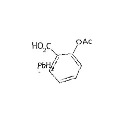 CC(=O)Oc1ccccc1C(=O)O.[PbH2]